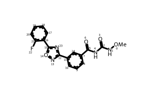 CONC(=O)NC(=O)c1cccc(-c2noc(-c3ccccc3F)n2)c1